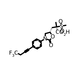 C[C@@](C[C@H]1CN(c2ccc(C#CCC(F)(F)F)cc2)C(=O)O1)(C(=O)O)S(C)(=O)=O